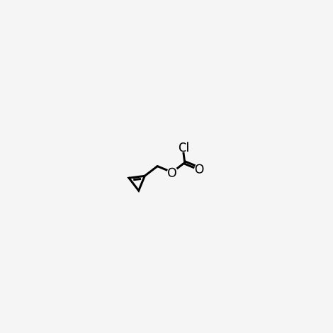 O=C(Cl)OCC1=CC1